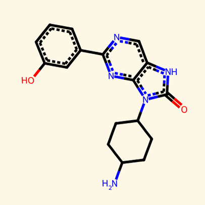 NC1CCC(n2c(=O)[nH]c3cnc(-c4cccc(O)c4)nc32)CC1